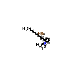 Br.CCCCCCCCCCCCCc1ccccc1N(CC)CC